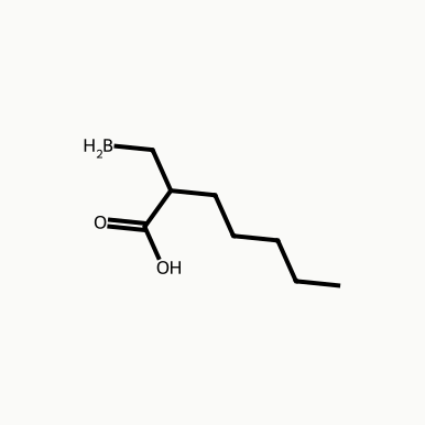 BCC(CCCCC)C(=O)O